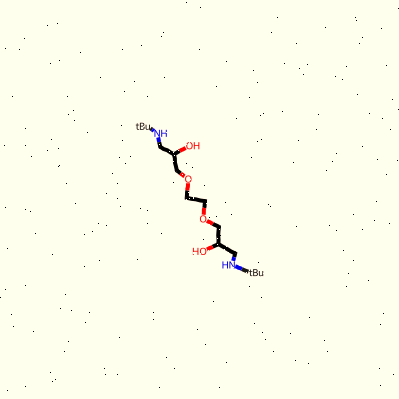 CC(C)(C)NCC(O)COCCOCC(O)CNC(C)(C)C